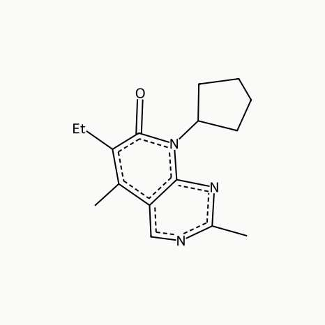 CCc1c(C)c2cnc(C)nc2n(C2CCCC2)c1=O